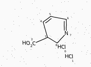 Cl.Cl.O=C(O)C1C=CC=NC1